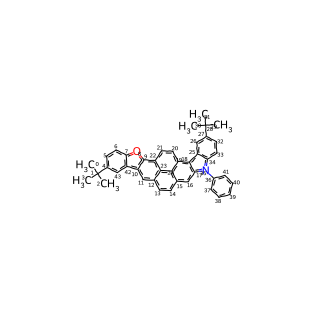 CC(C)(C)c1ccc2oc3c(cc4ccc5cc6c(c7ccc3c4c57)c3cc(C(C)(C)C)ccc3n6-c3ccccc3)c2c1